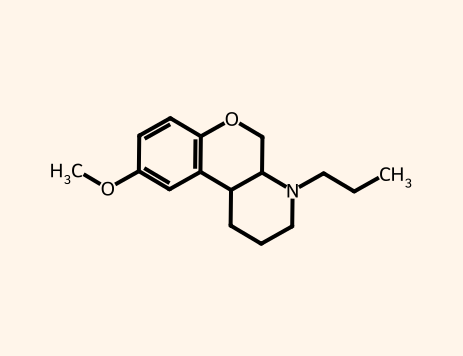 CCCN1CCCC2c3cc(OC)ccc3OCC21